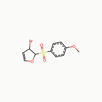 COc1ccc(S(=O)(=O)C2OC=CC2Br)cc1